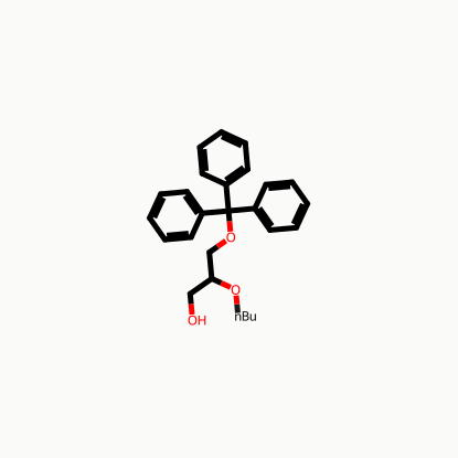 CCCCOC(CO)COC(c1ccccc1)(c1ccccc1)c1ccccc1